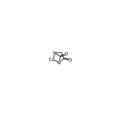 O=C1C[N]2[Co][N]1C2=O